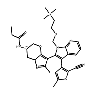 COC(=O)N[C@@H]1COc2c(-c3c(-c4cc(C)sc4C#N)c4cccnc4n3COCC[Si](C)(C)C)c(C)nn2C1